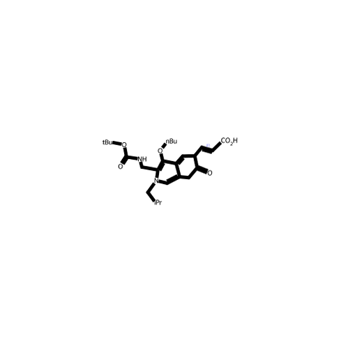 CCCCOC1=C(CNC(=O)OC(C)(C)C)N(CC(C)C)C=C2CC(=O)C(/C=C/C(=O)O)C=C21